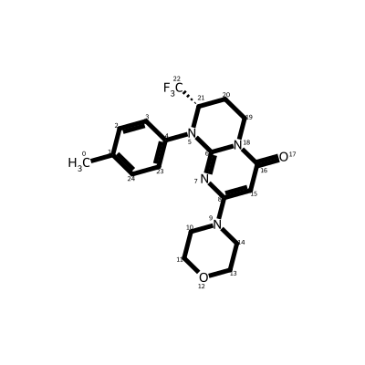 Cc1ccc(N2c3nc(N4CCOCC4)cc(=O)n3CC[C@H]2C(F)(F)F)cc1